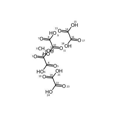 C.O=C(O)C(=O)O.O=C(O)C(=O)O.O=C(O)C(=O)O.O=C(O)C(=O)O